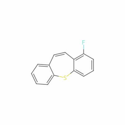 Fc1cccc2c1C=Cc1ccccc1S2